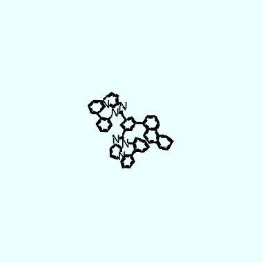 c1ccc(-c2ccccc2-n2c(-c3cc(-c4cccc5c4ccc4ccccc45)cc(-c4nc5cccnc5n4-c4ccccc4-c4ccccc4)c3)nc3cccnc32)cc1